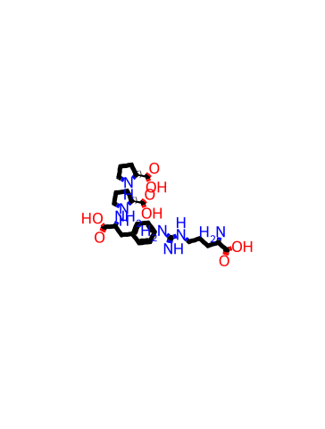 N=C(N)NCCCC(N)C(=O)O.NC(Cc1ccccc1)C(=O)O.O=C(O)[C@@H]1CCCN1.O=C(O)[C@@H]1CCCN1